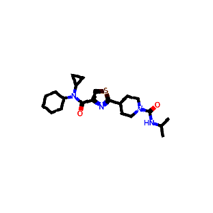 CC(C)NC(=O)N1CCC(c2nc(C(=O)N(C3CCCCC3)C3CC3)cs2)CC1